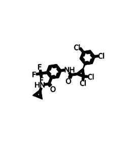 O=C(NC1CC1)c1cc(NC(=O)C2[C@@H](c3cc(Cl)cc(Cl)c3)C2(Cl)Cl)ccc1C(F)(F)F